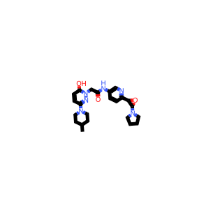 CC1CCN(C2=NN(CC(=O)Nc3ccc(C4OC4N4CCCC4)nc3)C(O)C=C2)CC1